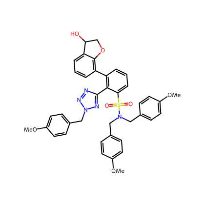 COc1ccc(CN(Cc2ccc(OC)cc2)S(=O)(=O)c2cccc(-c3cccc4c3OCC4O)c2-c2nnn(Cc3ccc(OC)cc3)n2)cc1